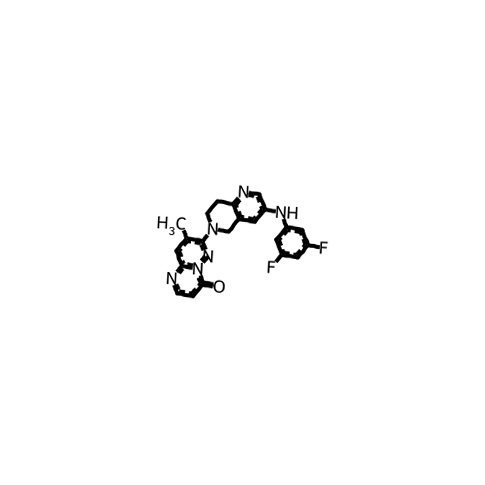 Cc1cc2nccc(=O)n2nc1N1CCc2ncc(Nc3cc(F)cc(F)c3)cc2C1